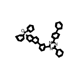 O=P(c1ccccc1)(c1ccccc1)c1ccc2cc(-c3cccc(-c4nc(-c5ccccc5)nc(-c5ccc(-c6ccccc6)cc5)n4)c3)ccc2c1